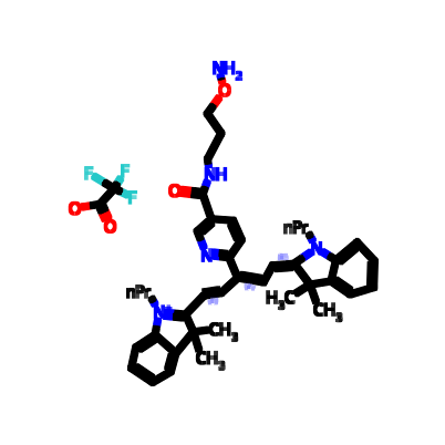 CCCN1/C(=C/C=C(/C=C/C2=[N+](CCC)c3ccccc3C2(C)C)c2ccc(C(=O)NCCCON)cn2)C(C)(C)c2ccccc21.O=C([O-])C(F)(F)F